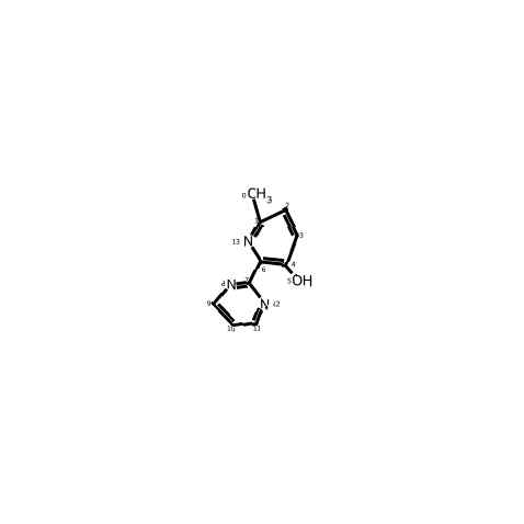 Cc1ccc(O)c(-c2ncccn2)n1